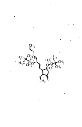 C=CC1C(=O)CC(O[Si](C)(C)C(C)(C)C)C1C=C[C@H](CCCCC)O[Si](C)(C)C(C)(C)C